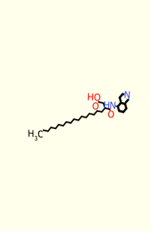 CCCCCCCCCCCCCCCCCC(CC(=O)O)C(=O)Nc1cccc2cnccc12